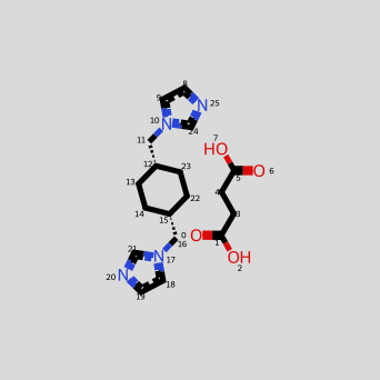 O=C(O)CCC(=O)O.c1cn(C[C@H]2CC[C@@H](Cn3ccnc3)CC2)cn1